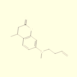 C=CCCN(C)c1ccc2c(c1)OC(=O)CC2C